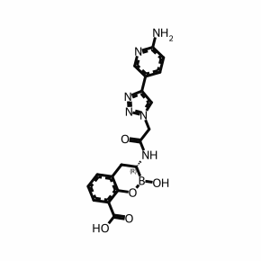 Nc1ccc(-c2cn(CC(=O)N[C@H]3Cc4cccc(C(=O)O)c4OB3O)nn2)cn1